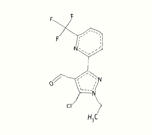 CCn1nc(-c2cccc(C(F)(F)F)n2)c(C=O)c1Cl